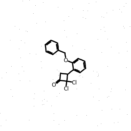 O=C1CC(c2ccccc2OCc2ccccc2)C1(Cl)Cl